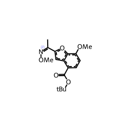 CO/N=C(/C)c1cc2c(C(=O)OC(C)(C)C)ccc(OC)c2o1